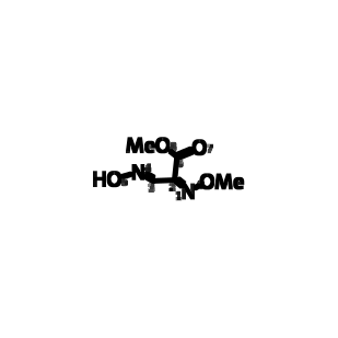 CON=C(C=NO)C(=O)OC